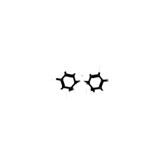 FC1=C(F)C(F)(B(Cl)C2(F)C(F)=C(F)C(Br)=C(F)C2(F)F)C(F)(F)C(F)=C1Br